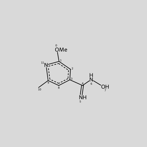 COc1cc(C(=N)NO)cc(C)n1